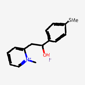 CSc1ccc(C(O)Cc2cccc[n+]2C)cc1.[I-]